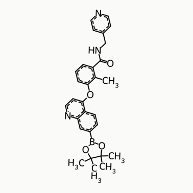 Cc1c(Oc2ccnc3cc(B4OC(C)(C)C(C)(C)O4)ccc23)cccc1C(=O)NCc1ccncc1